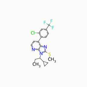 CCC(C1CC1)n1c(SC)nc2c(-c3ccc(C(F)(F)F)cc3Cl)ccnc21